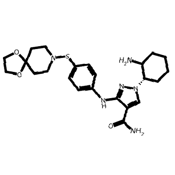 NC(=O)c1cn([C@H]2CCCCC2N)nc1Nc1ccc(SN2CCC3(CC2)OCCO3)cc1